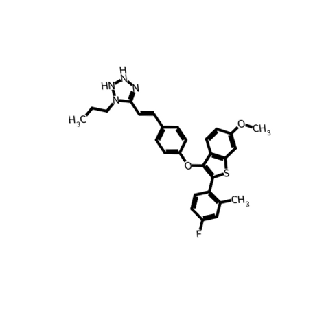 CCCN1NNN=C1/C=C/c1ccc(Oc2c(-c3ccc(F)cc3C)sc3cc(OC)ccc23)cc1